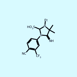 CCN1C(S(=O)(=O)O)N(c2ccc(C#N)c(C(F)(F)F)c2)C(=N)C1(C)C